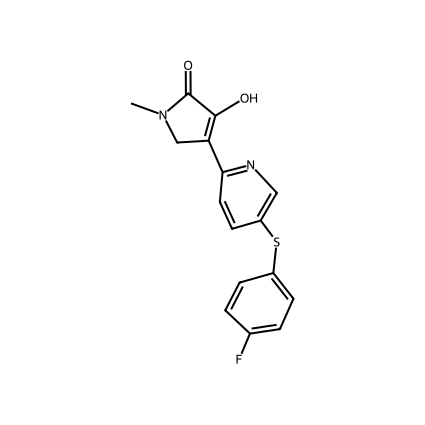 CN1CC(c2ccc(Sc3ccc(F)cc3)cn2)=C(O)C1=O